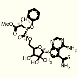 COC(=O)[C@H](C)N(Oc1ccccc1)[PH](=O)OCC1O[C@@H](n2cc(C(N)=S)c3c(N)ncnc32)[C@](C)(O)C1O